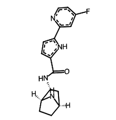 O=C(N[C@@H]1C[C@H]2CC[C@@H]1N2)c1ccc(-c2cc(F)ccn2)[nH]1